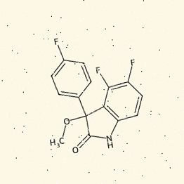 COC1(c2ccc(F)cc2)C(=O)Nc2ccc(F)c(F)c21